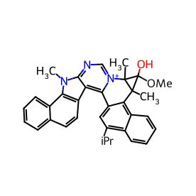 COC1(O)C2(C)c3c(cc(C(C)C)c4ccccc34)-c3c4c5ccc6ccccc6c5n(C)c4nc[n+]3C12C